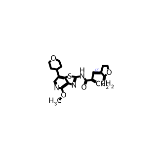 C=C(/C=C1/CCOC1=C)C(=O)Nc1nc2c(OC)ncc(C3CCOCC3)c2s1